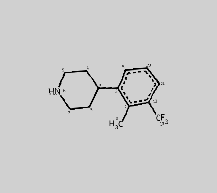 Cc1c(C2CCNCC2)cccc1C(F)(F)F